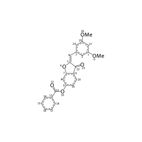 COc1cc(C=C2Oc3cc(OC(=O)c4ccccc4)ccc3C2=O)cc(OC)c1